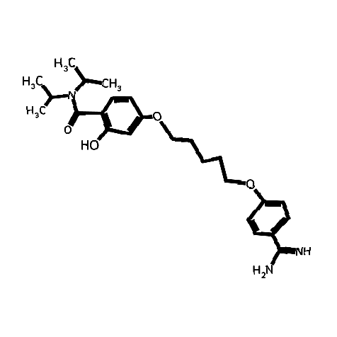 CC(C)N(C(=O)c1ccc(OCCCCCOc2ccc(C(=N)N)cc2)cc1O)C(C)C